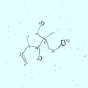 C=CC(C)C([O])C(C)(CCl)CCl